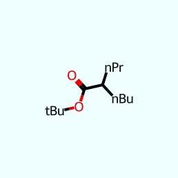 CCCCC(CCC)C(=O)OC(C)(C)C